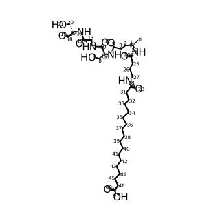 C[C@H](CCC(=O)N[C@@H](CO)C(=O)NCC(=O)N[C@H](C=O)CO)NC(=O)CCCNC(=O)CCCCCCCCCCCCCCCCC(=O)O